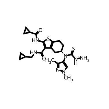 Cc1nn(C)cc1N(C(=S)NN)[C@H]1CCc2sc(NC(=O)C3CC3)c(C(=O)NCC3CC3)c2C1